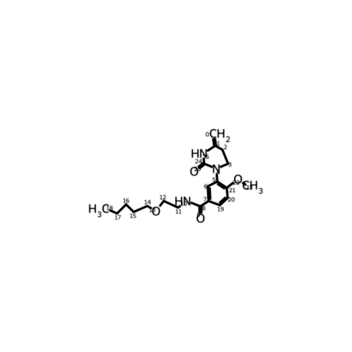 C=C1CCN(c2cc(C(=O)NCCOCCCCC)ccc2OC)C(=O)N1